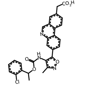 Cc1noc(-c2ccc3c(c2)ncc2cc(CC(=O)O)ccc23)c1NC(=O)OC(C)c1ccccc1Cl